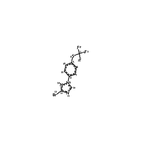 FC(F)(F)Sc1ccc(-n2cnc(Br)n2)cc1